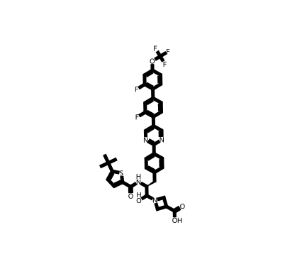 CC(C)(C)c1ccc(C(=O)N[C@@H](Cc2ccc(-c3ncc(-c4ccc(-c5ccc(OC(F)(F)F)cc5F)cc4F)cn3)cc2)C(O)N2CC(C(=O)O)C2)s1